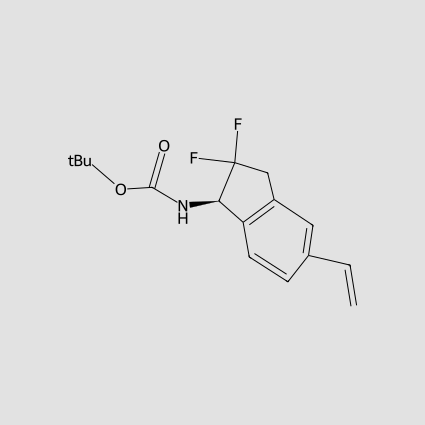 C=Cc1ccc2c(c1)CC(F)(F)[C@@H]2NC(=O)OC(C)(C)C